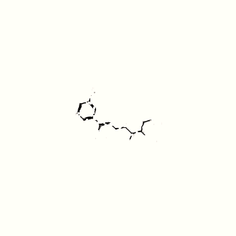 CCC(C)C(O)CCC=C(C)c1cccc(O)c1